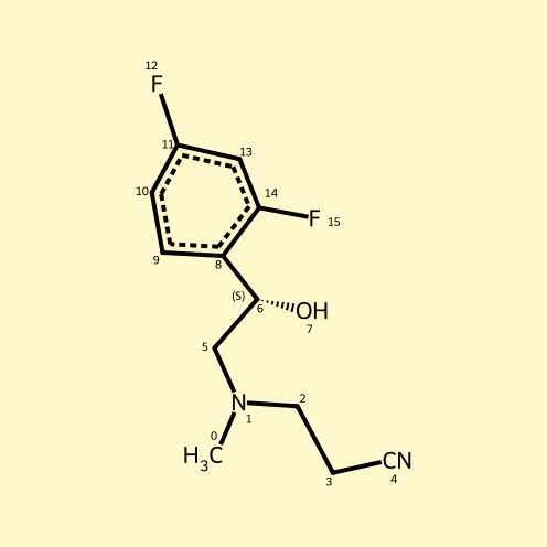 CN(CCC#N)C[C@@H](O)c1ccc(F)cc1F